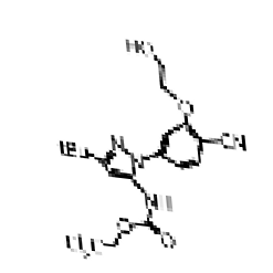 CC(C)(C)c1cc(NC(=O)OCC(Cl)(Cl)Cl)n(-c2ccc(C#N)c(OCCO)c2)n1